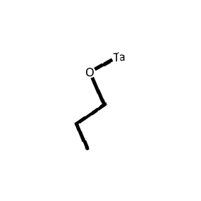 CCC[O][Ta]